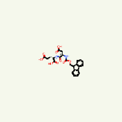 O=C(O)CC[C@H](NC(=O)[C@@H](CC(=O)O)NC(=O)OCC1c2ccccc2-c2ccccc21)C(=O)O